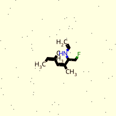 C=CNC(CF)/C(C)=C\C(C)=C/C